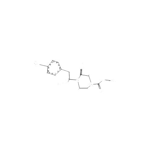 CC(C)(C)OC(=O)N1CCN(C(Cc2ccc(C#N)cc2)C(=O)O)C(=O)C1